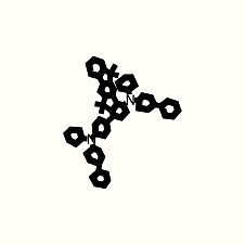 CC1(C)c2ccccc2-c2cc3c(cc21)-c1c(N(c2ccccc2)c2ccc(-c4ccccc4)cc2)ccc(-c2ccc(N(c4ccccc4)c4ccc(-c5ccccc5)cc4)cc2)c1C3(C)C